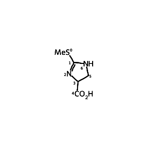 CSC1=NC(C(=O)O)CN1